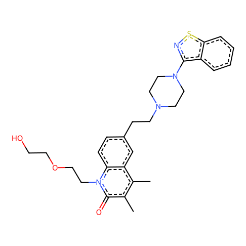 Cc1c(C)c2cc(CCN3CCN(c4nsc5ccccc45)CC3)ccc2n(CCOCCO)c1=O